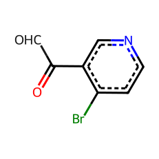 O=CC(=O)c1cnccc1Br